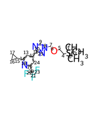 C[Si](C)(C)CCOCn1cnc(-c2cc(C3CC3)nc(C(F)(F)F)c2)n1